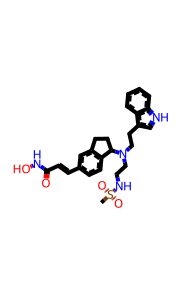 CS(=O)(=O)NCCN(CCc1c[nH]c2ccccc12)C1CCc2cc(C=CC(=O)NO)ccc21